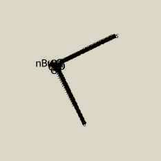 C#CC#CC#CC#CC#CC#CC#CC#CC#CC#CC#CC#CC#CC#COC(=O)CC(C)(CC(=O)OC#CC#CC#CC#CC#CC#CC#CC#CC#CC#CC#CC#CC#CC#C)OC(=O)CCCC